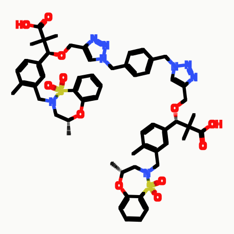 Cc1ccc([C@H](OCc2cn(Cc3ccc(Cn4cc(CO[C@@H](c5ccc(C)c(CN6C[C@@H](C)Oc7ccccc7S6(=O)=O)c5)C(C)(C)C(=O)O)nn4)cc3)nn2)C(C)(C)C(=O)O)cc1CN1C[C@@H](C)Oc2ccccc2S1(=O)=O